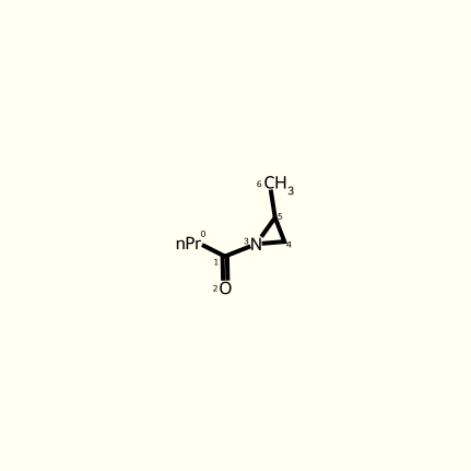 CCCC(=O)N1CC1C